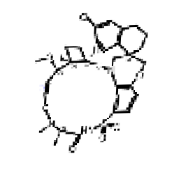 CO[C@@H]1/C=C\CN(C)[C@H](C)C(=O)NS(=O)(=O)c2ccc3c(c2)N(C[C@@H]2CC[C@H]21)C[C@@]1(CCCc2cc(Cl)ccc21)CO3